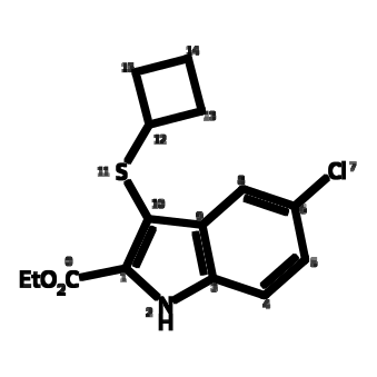 CCOC(=O)c1[nH]c2ccc(Cl)cc2c1SC1CCC1